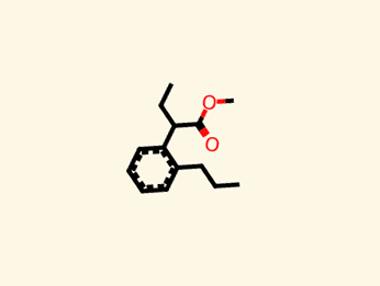 CCCc1ccccc1C(CC)C(=O)OC